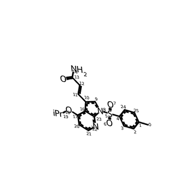 Cc1ccc(S(=O)(=O)n2cc(C=CC(N)=O)c3c(OC(C)C)ccnc32)cc1